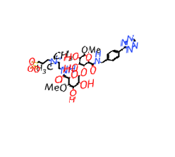 COC1OC(C(=O)NCc2ccc(-c3nncnn3)cc2)[C@@H](OC2OC(C(=O)NCC[N+](C)(C)CCCS(=O)(=O)[O-])[C@@H](OC)[C@H](O)[C@H]2O)[C@H](O)[C@H]1O